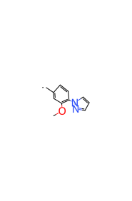 [CH2]c1ccc(-n2cccn2)c(OC)c1